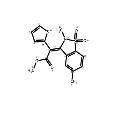 COC(=O)/C(=C1\c2cc(C)ccc2S(=O)(=O)N1C)c1cccs1